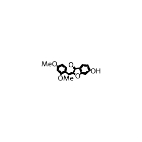 COc1ccc(/C=C2/Oc3cc(O)ccc3C2=O)c(OC)c1